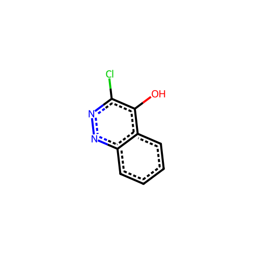 Oc1c(Cl)nnc2ccccc12